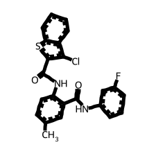 Cc1ccc(NC(=O)c2sc3ccccc3c2Cl)c(C(=O)Nc2cccc(F)c2)c1